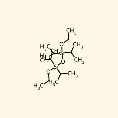 CCO[Si](O[Si](OCC)(C(C)C)C(C)C)(C(C)C)C(C)C